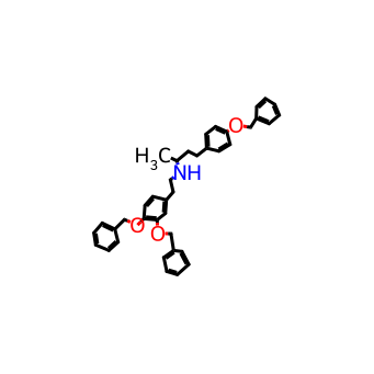 CC(CCc1ccc(OCc2ccccc2)cc1)NCCc1ccc(OCc2ccccc2)c(OCc2ccccc2)c1